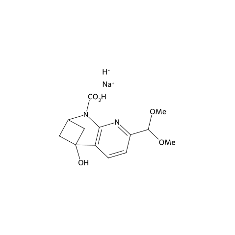 COC(OC)c1ccc2c(n1)N(C(=O)O)C1CC2(O)C1.[H-].[Na+]